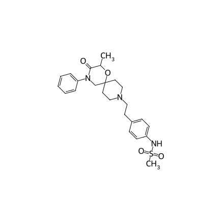 CC1OC2(CCN(CCc3ccc(NS(C)(=O)=O)cc3)CC2)CN(c2ccccc2)C1=O